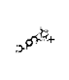 CC(C)(C)OC(=O)N[C@H](C[C@H](Cc1ccc(OC(CO)CF)cc1)C(=O)O)C(=O)O